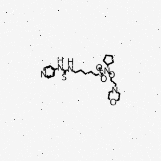 O=S(=O)(CCCCCNC(=S)Nc1ccncc1)N(OCCN1CCOCC1)C1CCCC1